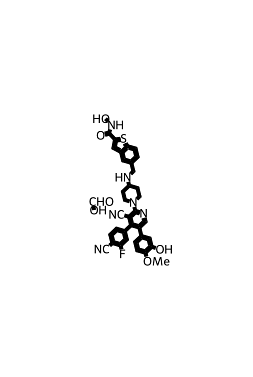 COc1ccc(-c2cnc(N3CCC(NCc4ccc5sc(C(=O)NO)cc5c4)CC3)c(C#N)c2-c2ccc(C#N)c(F)c2)cc1O.O=CO